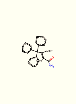 CCCCCCCC/C(C(N)=O)=C(/CCCCCCCC)C(c1ccccc1)(c1ccccc1)c1ccccc1